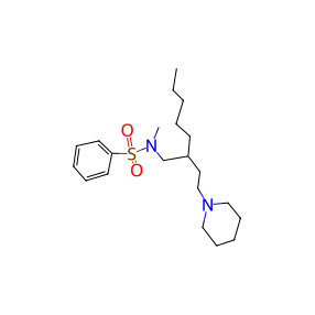 CCCCCC(CCN1CCCCC1)CN(C)S(=O)(=O)c1ccccc1